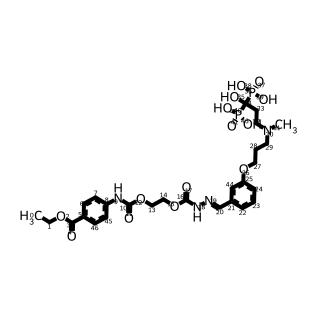 CCOC(=O)c1ccc(NC(=O)OCCOC(=O)N/N=C/c2cccc(OCCCN(C)CCC(O)(P(=O)(O)O)P(=O)(O)O)c2)cc1